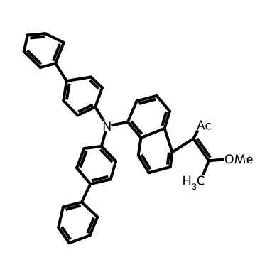 CO/C(C)=C(\C(C)=O)c1cccc2c(N(c3ccc(-c4ccccc4)cc3)c3ccc(-c4ccccc4)cc3)cccc12